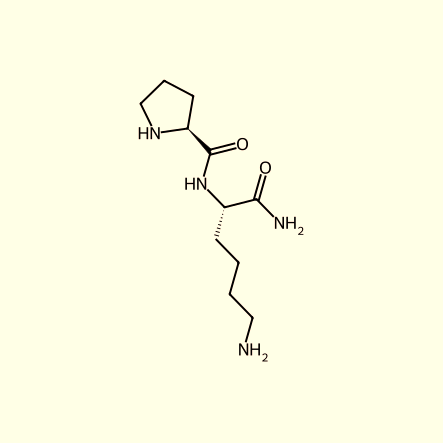 NCCCC[C@H](NC(=O)[C@@H]1CCCN1)C(N)=O